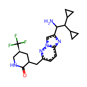 NC(c1cn2nc(CC3C[C@H](C(F)(F)F)CNC3=O)ccc2n1)C(C1CC1)C1CC1